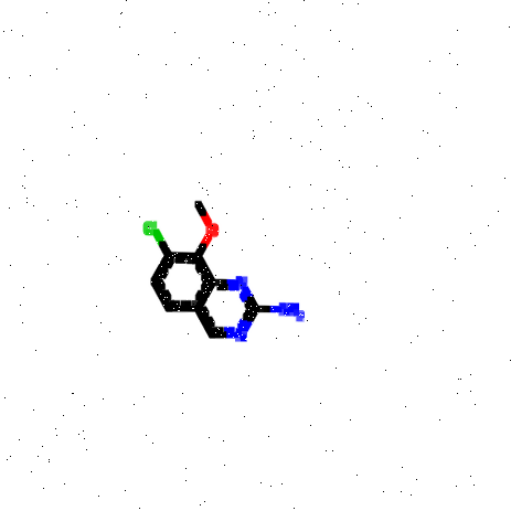 COc1c(Cl)ccc2cnc(N)nc12